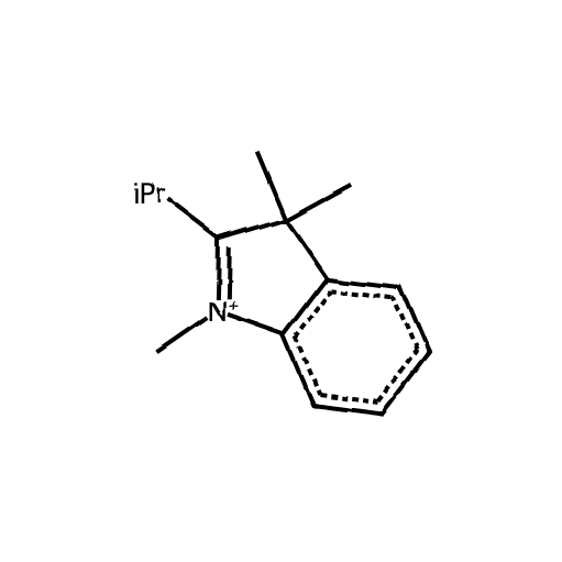 CC(C)C1=[N+](C)c2ccccc2C1(C)C